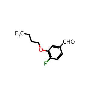 O=Cc1ccc(F)c(OCCCC(F)(F)F)c1